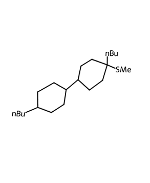 CCCCC1CCC(C2CCC(CCCC)(SC)CC2)CC1